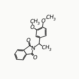 COc1ccc(C(C)N2C(=O)c3ccccc3C2=O)cc1OC